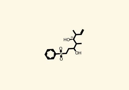 C=CC(C)[C@H](O)C(C)C(O)CCS(=O)(=O)c1ccccc1